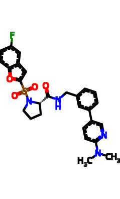 CN(C)c1ccc(-c2cccc(CNC(=O)[C@@H]3CCCN3S(=O)(=O)c3cc4cc(F)ccc4o3)c2)cn1